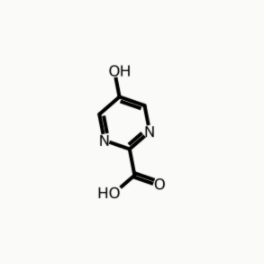 O=C(O)c1ncc(O)cn1